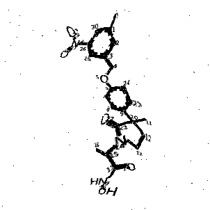 Cc1cc(COc2ccc(C3(C)CCN(C(C)C(=O)NO)C3=O)cc2)cc([N+](=O)[O-])c1